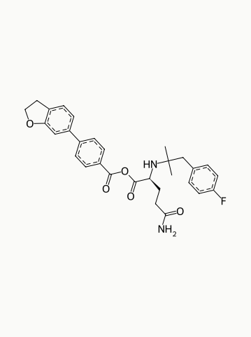 CC(C)(Cc1ccc(F)cc1)N[C@@H](CCC(N)=O)C(=O)OC(=O)c1ccc(-c2ccc3c(c2)OCC3)cc1